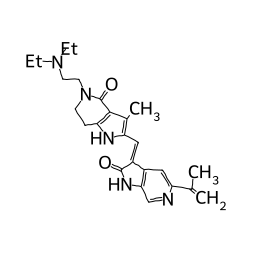 C=C(C)c1cc2c(cn1)NC(=O)/C2=C\c1[nH]c2c(c1C)C(=O)N(CCN(CC)CC)CC2